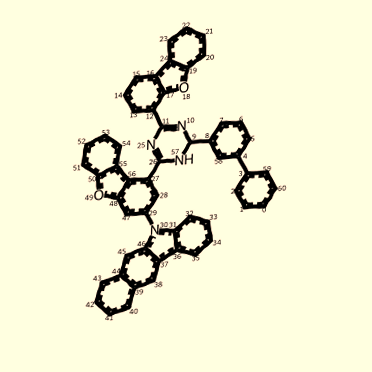 c1ccc(-c2cccc(C3N=C(c4cccc5c4oc4ccccc45)N=C(c4cc(-n5c6ccccc6c6cc7ccccc7cc65)cc5oc6ccccc6c45)N3)c2)cc1